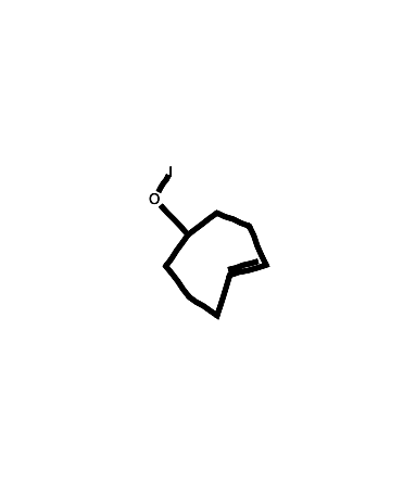 IOC1CC/C=C/CCC1